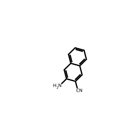 N#Cc1cc2ccccc2cc1N